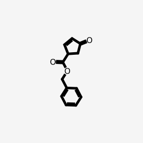 O=C1C=CC(C(=O)OCc2ccccc2)C1